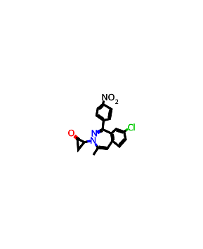 CC1=Cc2ccc(Cl)cc2C(c2ccc([N+](=O)[O-])cc2)=NN1C1CC1=O